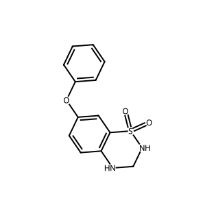 O=S1(=O)NCNc2ccc(Oc3ccccc3)cc21